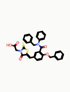 O=C(O)CN1C(=O)C(=Cc2ccc(OCc3ccccc3)c(C(=O)N(Cc3ccccc3)c3ccccc3)c2)SC1=S